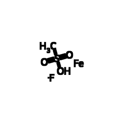 CS(=O)(=O)O.[F].[Fe]